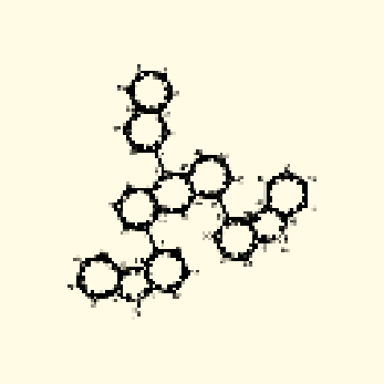 c1ccc2cc(-c3c4cccc(-c5cccc6oc7ccccc7c56)c4cc4c(-c5cccc6oc7ccccc7c56)cccc34)ccc2c1